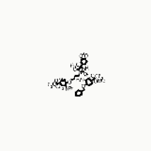 CCCc1cc(C(OC)(C(F)(F)F)C(F)(F)F)ccc1OCCCCN1C(=O)NC(C)(c2ccc3c(c2)OCO3)C1=O.CCCc1cc(C(OC)(C(F)(F)F)C(F)(F)F)ccc1OCc1ccccc1